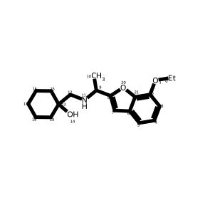 CCOc1cccc2cc(C(C)NCC3(O)CCCCC3)oc12